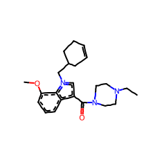 CCN1CCN(C(=O)c2cn(CC3CC=CCC3)c3c(OC)cccc23)CC1